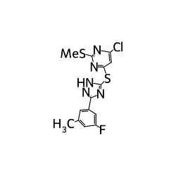 CSc1nc(Cl)cc(Sc2nc(-c3cc(C)cc(F)c3)n[nH]2)n1